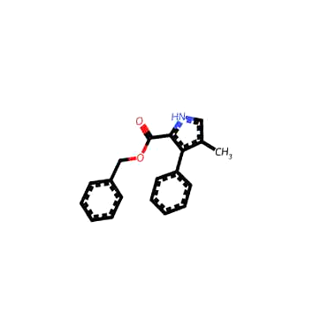 Cc1c[nH]c(C(=O)OCc2ccccc2)c1-c1ccccc1